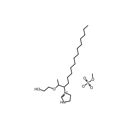 CCCCCCCCCCCCCC(C(C)OCCO)[N+]1=CNCC1.COS(=O)(=O)[O-]